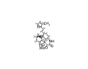 COC1C(=O)Nc2ccc(C=Cc3occc3C)c(O)c2C1(O)c1ccccc1